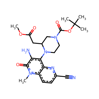 COC(=O)CC1CN(C(=O)OC(C)(C)C)CCN1c1c(N)c(=O)n(C)c2ccc(C#N)nc12